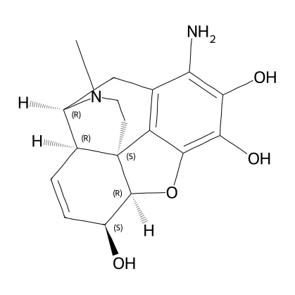 CN1CC[C@]23c4c5c(N)c(O)c(O)c4O[C@H]2[C@@H](O)C=C[C@H]3[C@H]1C5